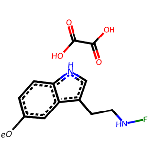 COc1ccc2[nH]cc(CCNF)c2c1.O=C(O)C(=O)O